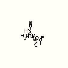 Cc1cc(NCCCn2ccnc2)ccc1NC(=O)COc1ccc(Cl)cc1C(=O)c1cc(F)cc(F)c1